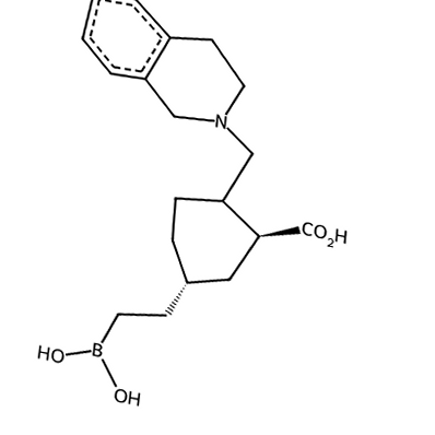 O=C(O)[C@H]1C[C@H](CCB(O)O)CCC1CN1CCc2ccccc2C1